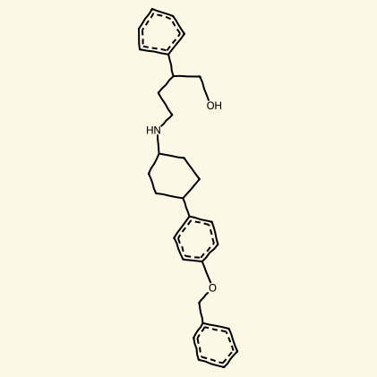 OCC(CCNC1CCC(c2ccc(OCc3ccccc3)cc2)CC1)c1ccccc1